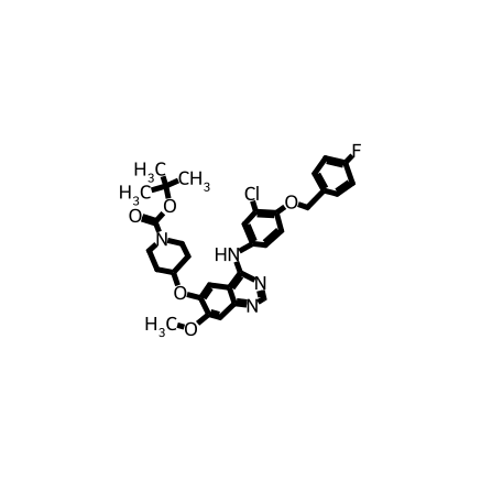 COc1cc2ncnc(Nc3ccc(OCc4ccc(F)cc4)c(Cl)c3)c2cc1OC1CCN(C(=O)OC(C)(C)C)CC1